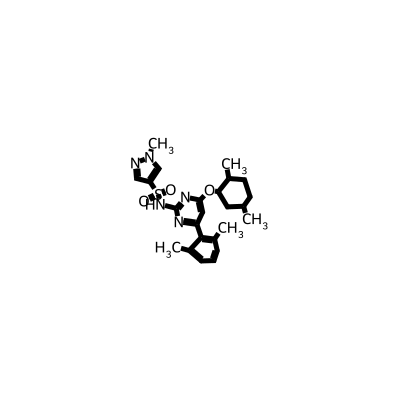 Cc1cccc(C)c1-c1cc(OC2CC(C)CCC2C)nc(NS(=O)(=O)c2cnn(C)c2)n1